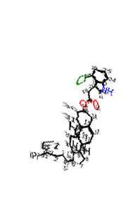 CC[C@H](CC[C@@H](C)[C@H]1CC[C@H]2[C@@H]3CC=C4C[C@@H](OC(=O)Cc5c[nH]c6cccc(Cl)c56)CC[C@]4(C)[C@H]3CC[C@]12C)C(C)C